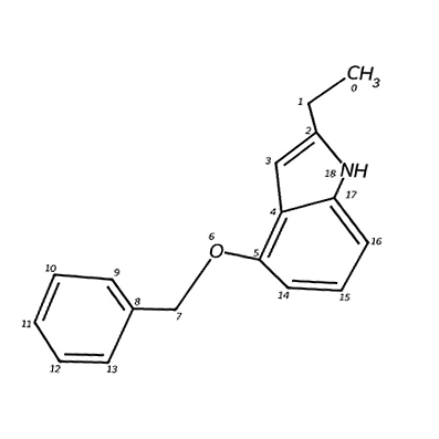 CCc1cc2c(OCc3ccccc3)cccc2[nH]1